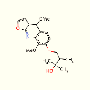 COc1c(OCC(C)C(C)(C)O)ccc2c1N=C1OC=CC1C2OC